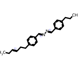 CC/C=C/CCc1ccc(/C=N/N=C/c2ccc(CCC)cc2)cc1